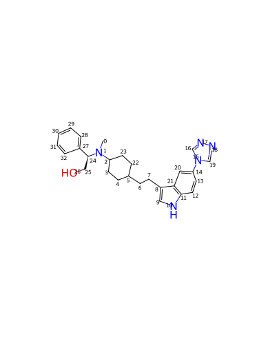 CN(C1CCC(CCc2c[nH]c3ccc(-n4cnnc4)cc23)CC1)[C@@H](CO)c1ccccc1